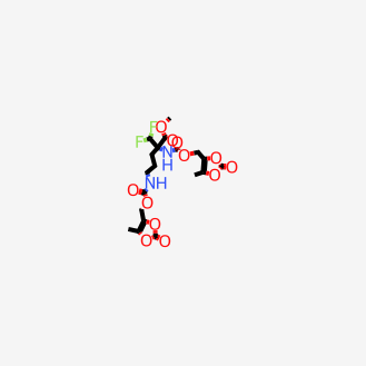 COC(=O)C(CCCNC(=O)OCc1oc(=O)oc1C)(NC(=O)OCc1oc(=O)oc1C)C(F)F